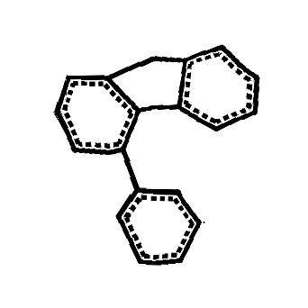 [c]1cccc(-c2cccc3c2-c2ccccc2C3)c1